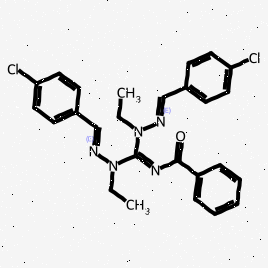 CCN(/N=C/c1ccc(Cl)cc1)C(=NC(=O)c1ccccc1)N(CC)/N=C/c1ccc(Cl)cc1